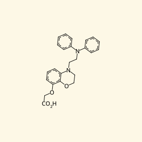 O=C(O)COc1cccc2c1OCCN2CCN(c1ccccc1)c1ccccc1